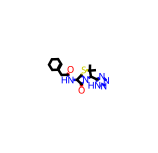 CC1(C)SC2C(NC(=O)CC3=CCCCC3)C(=O)N2C1c1nnn[nH]1